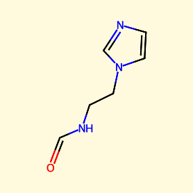 O=CNCCn1ccnc1